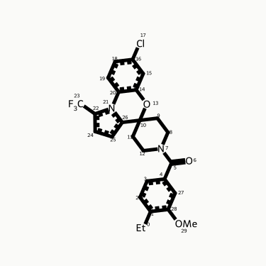 CCc1ccc(C(=O)N2CCC3(CC2)Oc2cc(Cl)ccc2-n2c(C(F)(F)F)ccc23)cc1OC